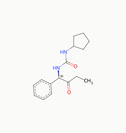 CCC(=O)[C@H](NC(=O)NC1CCCC1)c1ccccc1